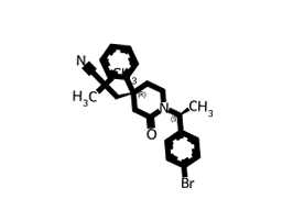 C[C@@H](c1ccc(Br)cc1)N1CC[C@@](CC(C)(C)C#N)(c2ccccc2)CC1=O